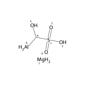 O=S(=O)(O)[CH](O)[AlH2].[MgH2]